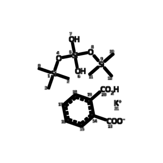 C[Si](C)(C)O[Si](O)(O)O[Si](C)(C)C.O=C([O-])c1ccccc1C(=O)O.[K+]